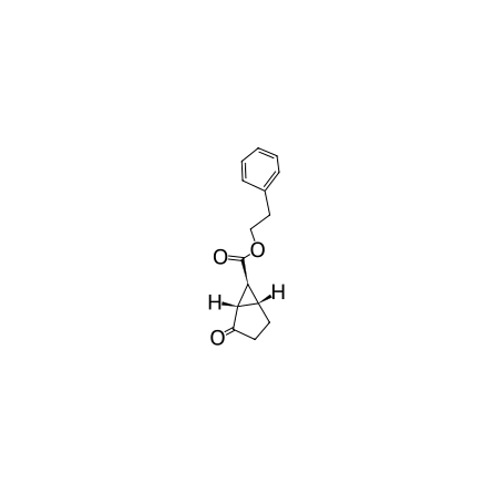 O=C1CC[C@@H]2[C@H]1[C@H]2C(=O)OCCc1ccccc1